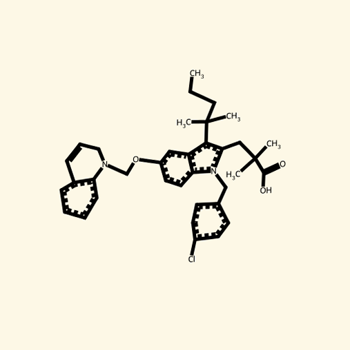 CCCC(C)(C)c1c(CC(C)(C)C(=O)O)n(Cc2ccc(Cl)cc2)c2ccc(OCN3CC=Cc4ccccc43)cc12